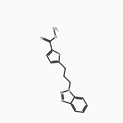 COC(=O)c1ccc(CCCn2nnc3ccccc32)s1